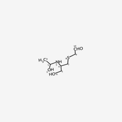 CC(O)NC(CO)CSCC=O